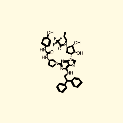 CCCN(C(=O)C(F)(F)F)[C@H]1C[C@@H](n2cnc3c(NCC(c4ccccc4)c4ccccc4)nc(N4CC[C@@H](NC(=O)Nc5ccc(O)cc5)C4)nc32)[C@H](O)[C@@H]1O